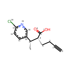 C#CCC[C@@H](C(=O)O)[C@H](C)c1ccc(Cl)nc1